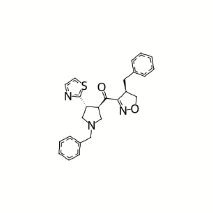 O=C(C1=NOC[C@@H]1Cc1ccccc1)[C@H]1CN(Cc2ccccc2)C[C@@H]1c1nccs1